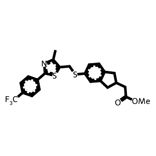 COC(=O)CC1Cc2ccc(SCc3sc(-c4ccc(C(F)(F)F)cc4)nc3C)cc2C1